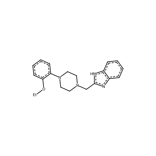 CCOc1ccccc1N1CCN(Cc2nc3ccccc3[nH]2)CC1